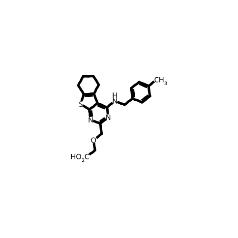 Cc1ccc(CNc2nc(COCC(=O)O)nc3sc4c(c23)CCCC4)cc1